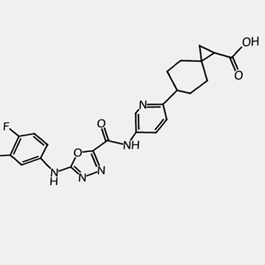 O=C(Nc1ccc(C2CCC3(CC2)CC3C(=O)O)nc1)c1nnc(Nc2ccc(F)c(F)c2)o1